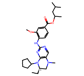 CC[C@@H]1CN(C)c2cnc(Nc3ccc(C(=O)OC(C)CC(C)C)cc3OC)nc2N1C1CCCC1